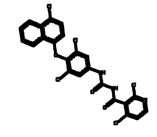 O=C(NC(=O)c1c(Cl)ccnc1Cl)Nc1cc(Cl)c(Oc2ccc(Cl)c3ccccc23)c(Cl)c1